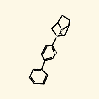 CN1C2CCC1CN(c1ccc(-c3ccccc3)cn1)C2